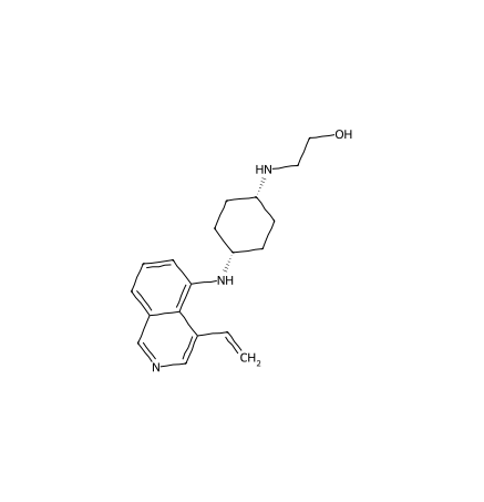 C=Cc1cncc2cccc(N[C@H]3CC[C@@H](NCCO)CC3)c12